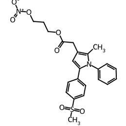 Cc1c(CC(=O)OCCCO[N+](=O)[O-])cc(-c2ccc(S(C)(=O)=O)cc2)n1-c1ccccc1